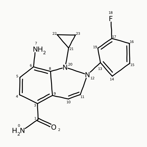 NC(=O)c1ccc(N)c2c1C=CN(c1cccc(F)c1)N2C1CC1